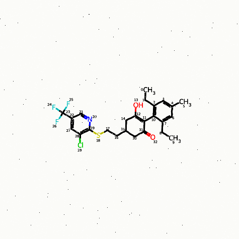 CCc1cc(C)cc(CC)c1C1=C(O)CC(CCSc2ncc(C(F)(F)F)cc2Cl)CC1=O